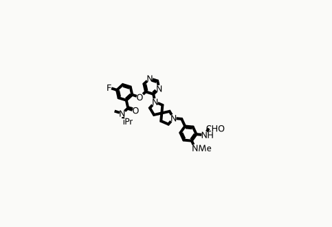 CNc1ccc(CN2CCC3(CCN(c4ncncc4Oc4ccc(F)cc4C(=O)N(C)C(C)C)C3)C2)cc1NC=O